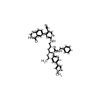 CCC[C@@H](CCCNc1ncc(C#N)c(-c2ccc3nc[nH]c(=O)c3c2)n1)N(C(=O)NCc1ccccc1)c1ccc(-c2cnn(C)c2)cn1